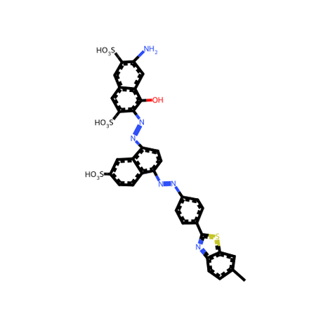 Cc1ccc2nc(-c3ccc(N=Nc4ccc(N=Nc5c(S(=O)(=O)O)cc6cc(S(=O)(=O)O)c(N)cc6c5O)c5cc(S(=O)(=O)O)ccc45)cc3)sc2c1